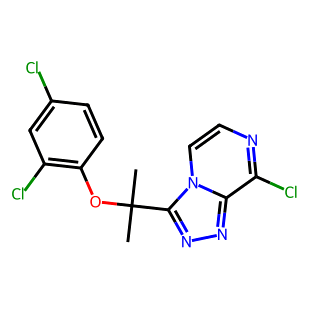 CC(C)(Oc1ccc(Cl)cc1Cl)c1nnc2c(Cl)nccn12